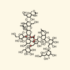 CC(=O)NC1C(O)[C@H](O[C@@H]2OC(CO[C@]3(O)CC(O)[C@@H](C)C([C@H](O)C(O)CO)O3)[C@H](O)[C@H](O)C2O)C(CO)O[C@H]1OC1[C@@H](OCC2O[C@@H](O[C@@H]3C(CO)O[C@@H](O[C@@H]4C(CO)O[C@@H](C)C(NC(C)=O)[C@H]4O)C(NC(C)=O)[C@H]3O)C(O)[C@@H](O[C@H]3O[C@H](CO)[C@@H](O)C(O)C3O[C@@H]3OC(CO)[C@@H](O[C@@H]4OC(CO)[C@H](O)[C@H](O)C4O)[C@H](O)C3NC(C)=O)[C@@H]2O)OC(CO)[C@@H](O)[C@@H]1O